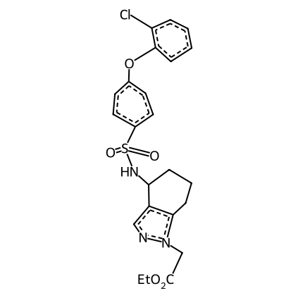 CCOC(=O)Cn1ncc2c1CCCC2NS(=O)(=O)c1ccc(Oc2ccccc2Cl)cc1